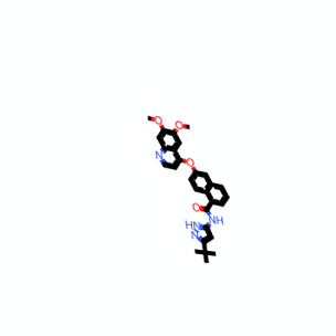 COc1cc2nccc(Oc3ccc4c(C(=O)Nc5cc(C(C)(C)C)n[nH]5)cccc4c3)c2cc1OC